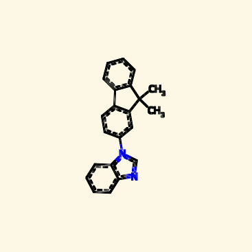 CC1(C)c2ccccc2-c2ccc(-n3cnc4ccccc43)cc21